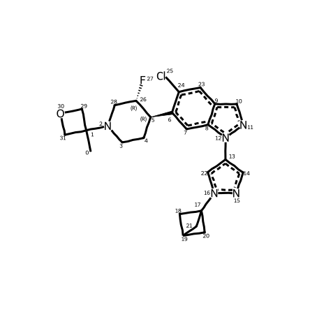 CC1(N2CC[C@H](c3cc4c(cnn4-c4cnn(C56CC(C5)C6)c4)cc3Cl)[C@@H](F)C2)COC1